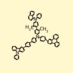 Cc1cc(N(c2ccc(-c3ccc(-c4ccc5c(c4)c4ccccc4n5-c4ccccc4)cc3)cc2)c2ccc(-c3ccc4c5ccccc5c5ccccc5c4c3)cc2)ccc1-c1ccc(N(c2ccccc2)c2cccc3ccccc23)cc1C